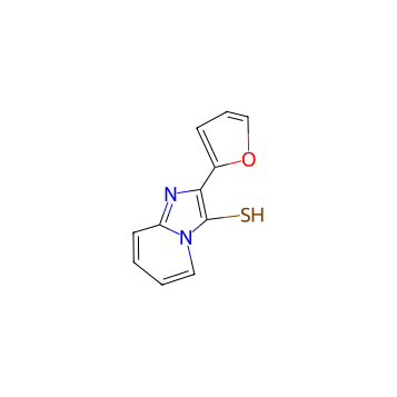 Sc1c(-c2ccco2)nc2ccccn12